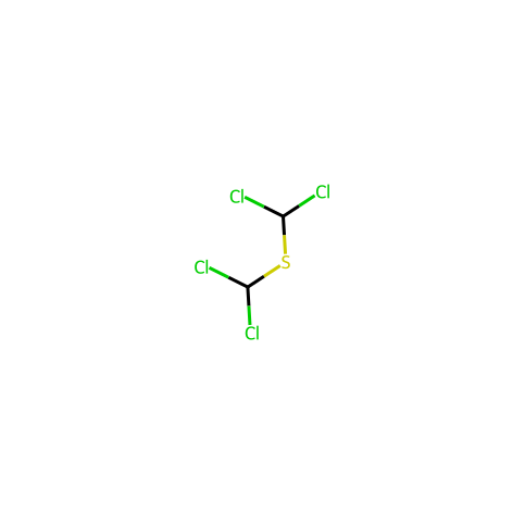 ClC(Cl)SC(Cl)Cl